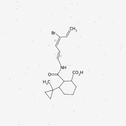 C=C/C(Br)=C\C=C\NC(=O)C1C(C(=O)O)CCCC1C1(C)CC1